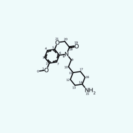 COc1ccc2c(c1)N(CCC1CCC(N)CC1)C(=O)CO2